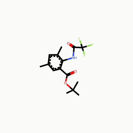 Cc1cc(C)c(NC(=O)C(F)(F)F)c(C(=O)OC(C)(C)C)c1